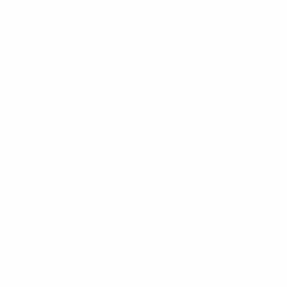 C/C=C\CC(CC)C1CCC=C(I)C1